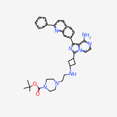 CC(C)(C)OC(=O)N1CCN(CCNC2CC(c3nc(-c4ccc5ccc(-c6ccccc6)nc5c4)c4c(N)nccn34)C2)CC1